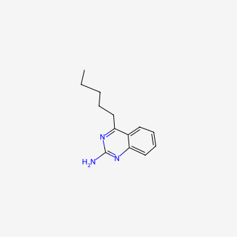 CCCCCc1nc(N)nc2ccccc12